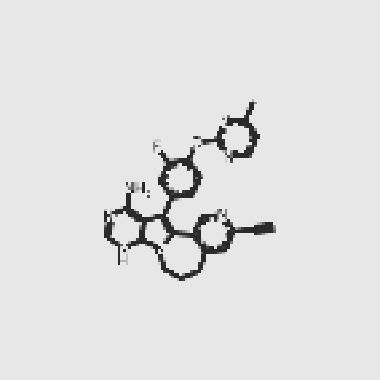 C#Cc1cc2c(cn1)C1=C(c3ccc(Oc4nccc(C)n4)c(F)c3)C3=C(N)N=CNC3N1CCC2